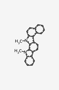 Cn1c2ccccc2c2ccc3c4c5ccccc5ccc4n(C)c3c21